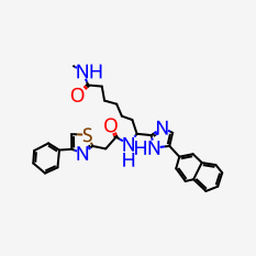 CNC(=O)CCCCCC(NC(=O)Cc1nc(-c2ccccc2)cs1)c1ncc(-c2ccc3ccccc3c2)[nH]1